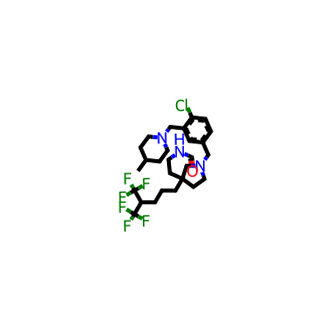 CC1CCN(Cc2cc(CN3CCC(CCCC(C(F)(F)F)C(F)(F)F)(CCNC=O)C3)ccc2Cl)CC1